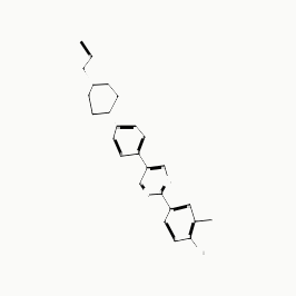 C=CC[C@H]1CC[C@H](c2ccc(-c3cnc(-c4ccc(Br)c(F)c4)nc3)cc2)CC1